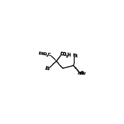 CCCCC(CC)CC(CC)(C(=O)O)C(=O)OCC